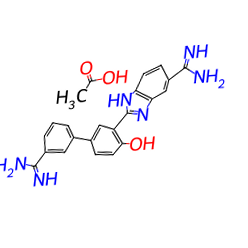 CC(=O)O.N=C(N)c1cccc(-c2ccc(O)c(-c3nc4cc(C(=N)N)ccc4[nH]3)c2)c1